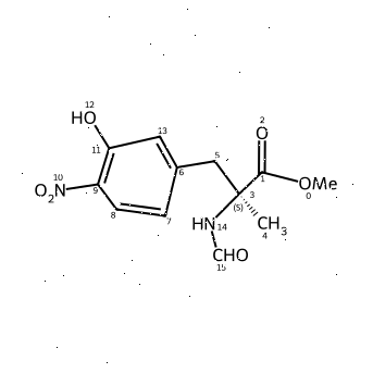 COC(=O)[C@](C)(Cc1ccc([N+](=O)[O-])c(O)c1)NC=O